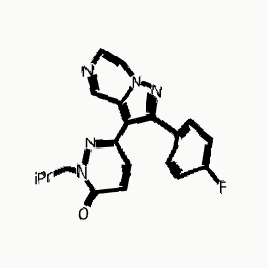 CC(C)n1nc(-c2c(-c3ccc(F)cc3)nn3ccncc23)ccc1=O